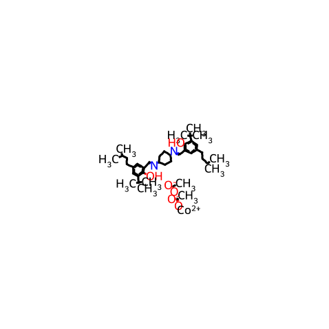 CC(=O)[O-].CC(=O)[O-].CC(C)CCc1cc(C=NC2CCC(N=Cc3cc(CCC(C)C)cc(C(C)(C)C)c3O)CC2)c(O)c(C(C)(C)C)c1.[Co+2]